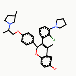 CC1=C(c2cccc(N3CCCC3)c2Cl)C(c2ccc(OCC(C)N3CCC(C)C3)cc2)Oc2ccc(O)cc21